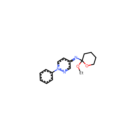 CCOC1(/N=c2/ccn(-c3ccccc3)nc2)CCCCO1